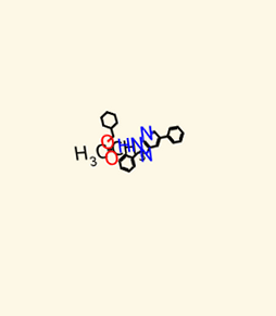 CC(C)(OCC1CCCCC1)Oc1cccc(-c2nc3cc(-c4ccccc4)cnc3[nH]2)c1